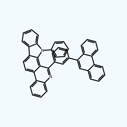 c1ccc(-n2c3ccccc3c3ccc4c5ccccc5nc(-c5cccc(-c6cc7ccccc7c7ccccc67)c5)c4c32)cc1